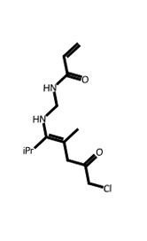 C=CC(=O)NCNC(=C(C)CC(=O)CCl)C(C)C